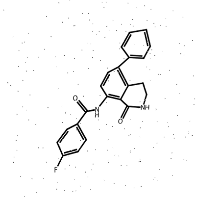 O=C(Nc1ccc(-c2ccccc2)c2c1C(=O)NCC2)c1ccc(F)cc1